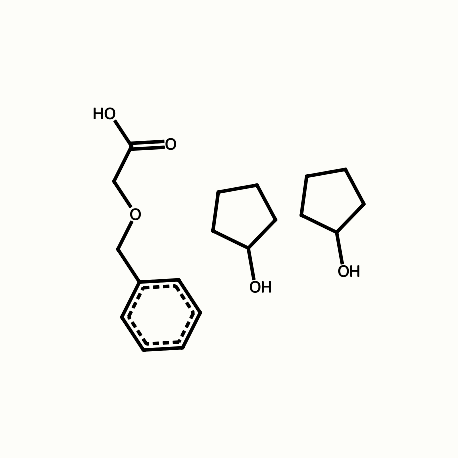 O=C(O)COCc1ccccc1.OC1CCCC1.OC1CCCC1